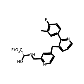 CCOC(=O)[C@@H](O)NCc1cc(Cc2cccnc2-c2ccc(F)c(C)c2)ccn1